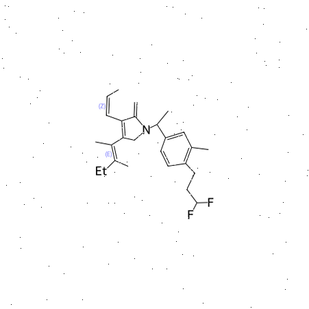 C=C1C(/C=C\C)=C(C(/C)=C(\C)CC)CN1C(C)c1ccc(CCC(F)F)c(C)c1